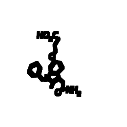 Cc1c(CC(N)=O)c2ccc(OCCCC(=O)O)cc2n1Cc1ccccc1